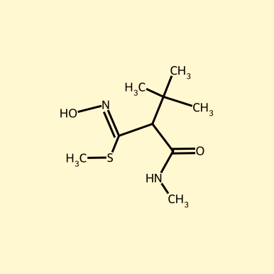 CNC(=O)C(C(=NO)SC)C(C)(C)C